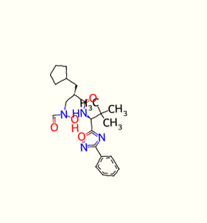 CC(C)(C)[C@H](NC(=O)[C@H](CC1CCCC1)CN(O)C=O)c1nc(-c2ccccc2)no1